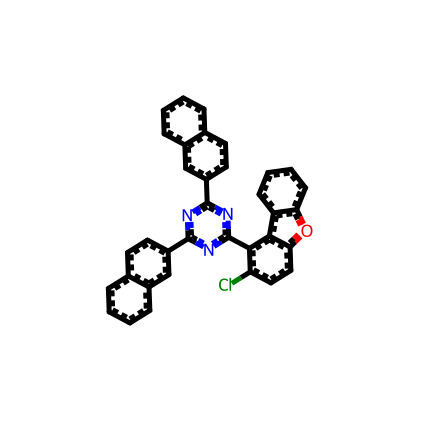 Clc1ccc2oc3ccccc3c2c1-c1nc(-c2ccc3ccccc3c2)nc(-c2ccc3ccccc3c2)n1